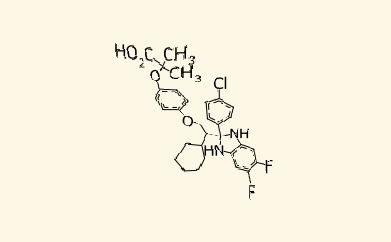 CC(C)(Oc1ccc(OCC(C2CCCCC2)C2(c3ccc(Cl)cc3)Nc3cc(F)c(F)cc3N2)cc1)C(=O)O